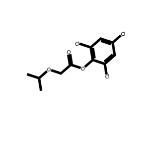 CC(C)OCC(=O)Oc1c(Cl)cc(Cl)cc1Cl